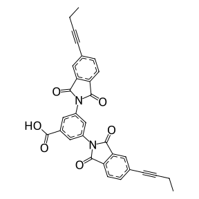 CCC#Cc1ccc2c(c1)C(=O)N(c1cc(C(=O)O)cc(N3C(=O)c4ccc(C#CCC)cc4C3=O)c1)C2=O